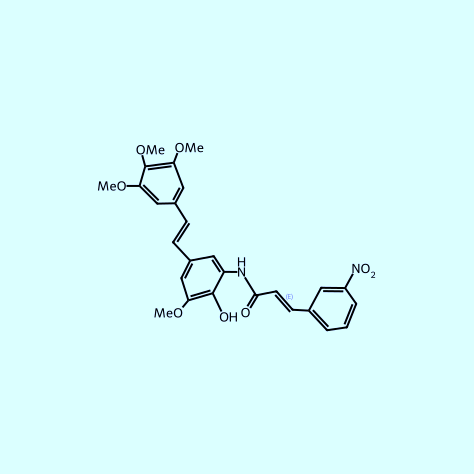 COc1cc(C=Cc2cc(OC)c(OC)c(OC)c2)cc(NC(=O)/C=C/c2cccc([N+](=O)[O-])c2)c1O